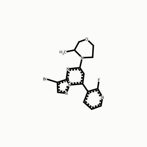 CC1COCCN1c1cc(-c2cccnc2F)n2ncc(Br)c2n1